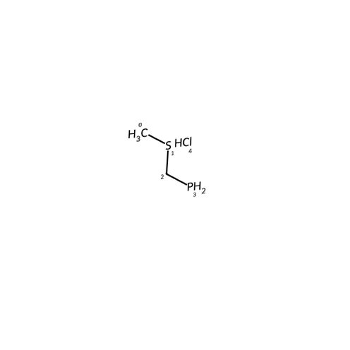 CSCP.Cl